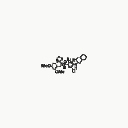 COc1ccc(CN(c2nccs2)S(=O)(=O)c2cc(Cl)c(NC3Cc4ccccc4CC3N)cc2F)c(OC)c1